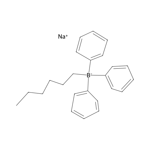 CCCCCC[B-](c1ccccc1)(c1ccccc1)c1ccccc1.[Na+]